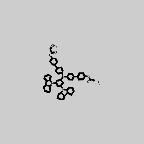 C=CC(=O)Oc1ccc(-c2ccc(N(c3ccc(-c4ccc(OC(=O)C=C)cc4)cc3)c3cc(-n4c5ccccc5c5ccccc54)cc(-n4c5ccccc5c5ccccc54)c3)cc2)cc1